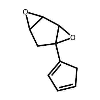 C1=CCC(C23CC4OC4C2O3)=C1